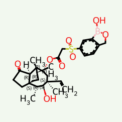 C=C[C@]1(C)C[C@@H](OC(=O)CS(=O)(=O)c2ccc3c(c2)B(O)OC3)[C@]2(C)[C@H](C)CC[C@]3(CCC(=O)[C@H]32)[C@@H](C)[C@@H]1O